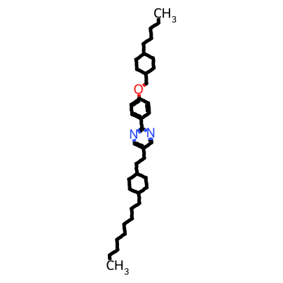 CCCCCCCCCC1CCC(CCc2cnc(-c3ccc(OCC4CCC(CCCCC)CC4)cc3)nc2)CC1